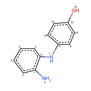 Nc1ccccc1Nc1ccc(O)cc1